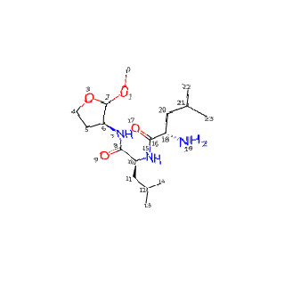 COC1OCC[C@@H]1NC(=O)[C@H](CC(C)C)NC(=O)[C@@H](N)CC(C)C